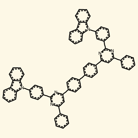 c1ccc(-c2cc(-c3ccc(-c4ccc(-c5cc(-c6ccccc6)nc(-c6cccc(-n7c8ccccc8c8ccccc87)c6)n5)cc4)cc3)nc(-c3ccc(-n4c5ccccc5c5ccccc54)cc3)n2)cc1